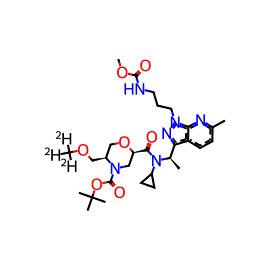 [2H]C([2H])([2H])OC[C@H]1CO[C@@H](C(=O)N(C2CC2)[C@H](C)c2nn(CCCNC(=O)OC)c3nc(C)ccc23)CN1C(=O)OC(C)(C)C